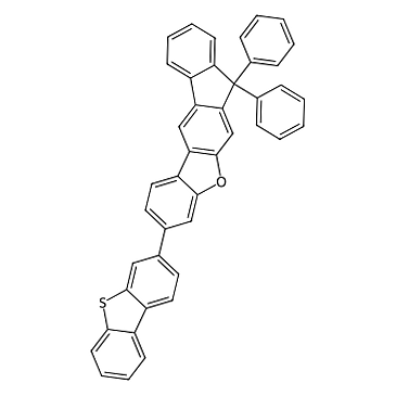 c1ccc(C2(c3ccccc3)c3ccccc3-c3cc4c(cc32)oc2cc(-c3ccc5c(c3)sc3ccccc35)ccc24)cc1